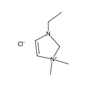 CCN1C=C[N+](C)(C)C1.[Cl-]